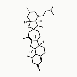 CC1=C2C[C@@H]3C4C(=CC(=O)C[C@H]4C)CC[C@H]3[C@@H]2CC[C@@]2(C1)O[C@@H]1C[C@H](C)CN(CCN(C)C)[C@H]1[C@H]2C